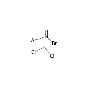 CC(=O)NBr.ClCCl